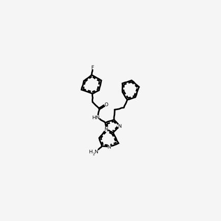 Nc1cn2c(NC(=O)Cc3ccc(F)cc3)c(CCc3ccccc3)nc2cn1